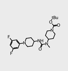 CN(C(=O)NC1CCN(c2cc(F)cc(F)c2)CC1)C1CCN(C(=O)OC(C)(C)C)CC1